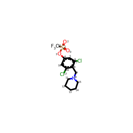 O=S(=O)(Oc1cc(Cl)c(CN2CCCCC2)c(Cl)c1)C(F)(F)F